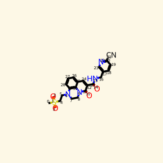 CS(=O)(=O)CCN1CCn2c(=O)c(C(=O)NCc3ccc(C#N)nc3)cc3cccc1c32